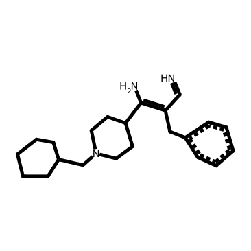 N=C/C(Cc1ccccc1)=C(\N)C1CCN(CC2CCCCC2)CC1